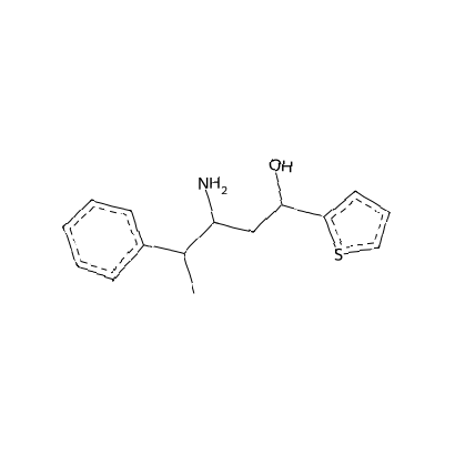 CC(c1ccccc1)C(N)CC(O)c1cccs1